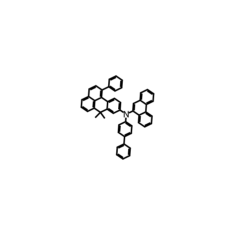 CC1(C)c2cc(N(c3ccc(-c4ccccc4)cc3)c3cc4ccccc4c4ccccc34)ccc2-c2c(-c3ccccc3)ccc3cccc1c23